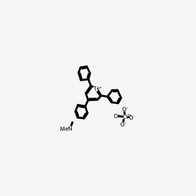 CNC.[O-][Cl+3]([O-])([O-])[O-].c1ccc(-c2cc(-c3ccccc3)[te+]c(-c3ccccc3)c2)cc1